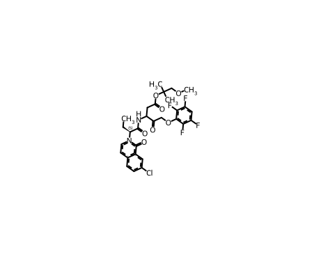 CC[C@@H](C(=O)NC(CC(=O)OC(C)(C)COC)C(=O)COc1c(F)c(F)cc(F)c1F)n1ccc2ccc(Cl)cc2c1=O